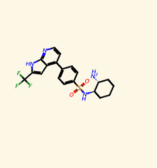 N[C@@H]1CCCC[C@H]1NS(=O)(=O)c1ccc(-c2ccnc3[nH]c(C(F)(F)F)cc23)cc1